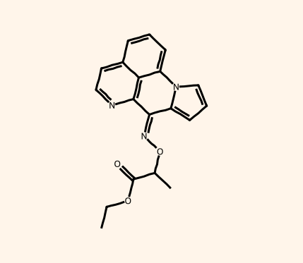 CCOC(=O)C(C)O/N=c1/c2nccc3cccc(c32)n2cccc12